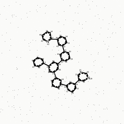 c1ccc(-c2cc(-c3cccc(-c4cccc(-c5cncnc5)c4)c3)cc(-c3cccc(-c4cccc(-c5ccccn5)c4)c3)c2)cc1